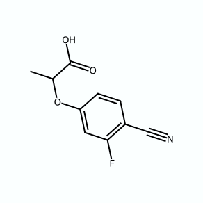 CC(Oc1ccc(C#N)c(F)c1)C(=O)O